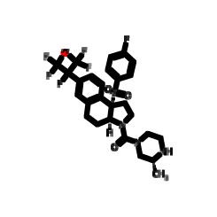 C[C@@H]1CN(C(=O)N2CC[C@]3(S(=O)(=O)c4ccc(F)cc4)c4ccc(C(F)(C(F)(F)F)C(F)(F)F)cc4CC[C@H]23)CCN1